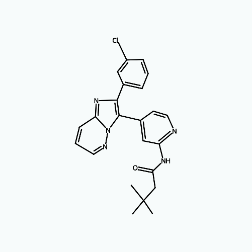 CC(C)(C)CC(=O)Nc1cc(-c2c(-c3cccc(Cl)c3)nc3cccnn23)ccn1